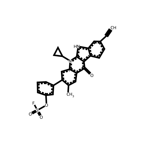 C#Cc1ccc2c(c1)[nH]c1c2c(=O)c2cc(C)c(-c3cccc(OS(=O)(=O)F)c3)cc2n1C1CC1